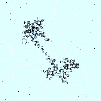 CNC(=O)[C@H](CC1CCCCC1)OC1C(NC(=O)CNC(=O)COCCOCCOCCOCC(=O)NCC(=O)NC2C(O[C@@H](CC3CCCCC3)C(=O)NC)[C@@H](O)C(CO)O[C@H]2O[C@@H]2CC(C(=O)NCCN)CC(NC(=O)c3cc(=O)[nH]c(=O)[nH]3)C2O[C@@H]2OC(C)[C@@H](O)C(O)C2O)[C@H](O[C@@H]2CC(C(=O)NCCN)CC(NC(=O)c3cc(=O)[nH]c(=O)[nH]3)C2OCC2(O)COC(C)[C@@H](O)C2O)OC(CO)[C@@H]1O